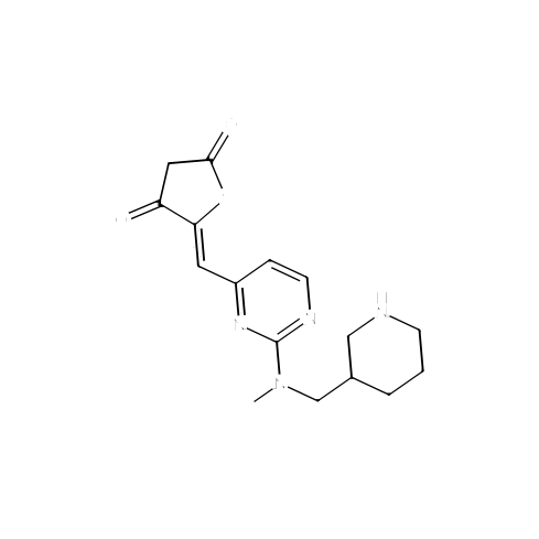 CN(CC1CCCNC1)c1nccc(/C=C2\SC(=O)CC2=O)n1